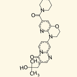 CC(C)(O)Cc1cnc2cc(N3CCOc4cc(C(=O)N5CCCCC5)cnc43)ccn2c1=O